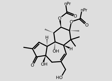 CCCC(=O)O[C@@H]1[C@@H](C)[C@@]2(O)[C@@H](C=C(CO)C[C@]3(O)C(=O)C(C)=C[C@@H]23)C(C)(C)[C@]1(C)OC(=O)CCC